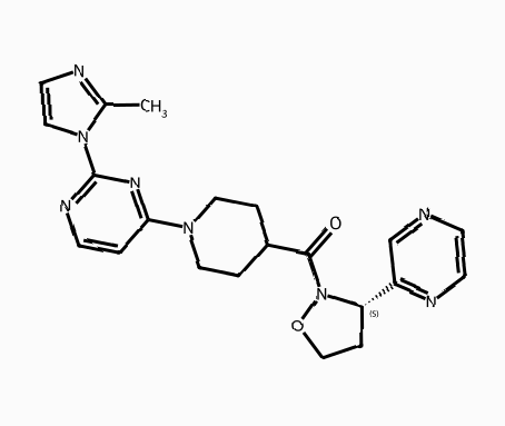 Cc1nccn1-c1nccc(N2CCC(C(=O)N3OCC[C@H]3c3cnccn3)CC2)n1